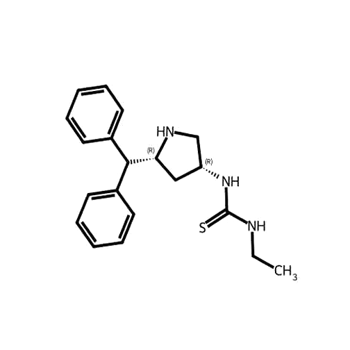 CCNC(=S)N[C@H]1CN[C@@H](C(c2ccccc2)c2ccccc2)C1